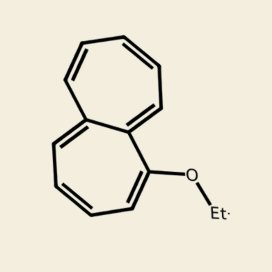 C[CH]OC1=CC=CC=C2C=CC=CC=C21